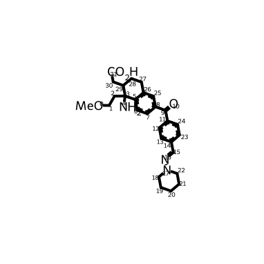 COCCC1(N)c2ccc(C(=O)c3ccc(C=NN4CCCCC4)cc3)cc2CCC1CC(=O)O